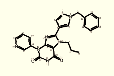 CCCn1c(-c2cnn(Cc3ccccc3)c2)nc2c1c(=O)[nH]c(=O)n2-c1cccnc1